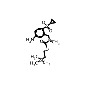 CN(Cc1cc(N)ccc1S(=O)(=O)C1CC1)C(=O)OCC[Si](C)(C)C